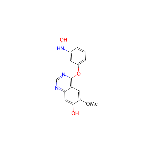 COc1cc2c(Oc3cccc(NO)c3)ncnc2cc1O